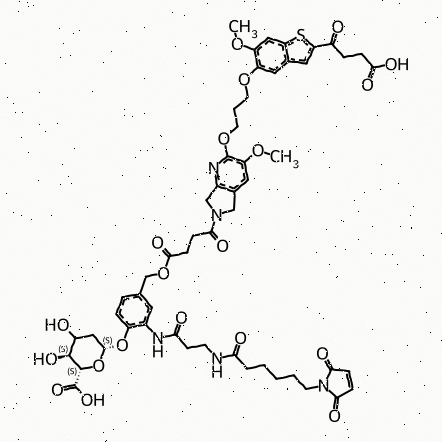 COc1cc2sc(C(=O)CCC(=O)O)cc2cc1OCCCOc1nc2c(cc1OC)CN(C(=O)CCC(=O)OCc1ccc(O[C@H]3CC(O)[C@H](O)[C@@H](C(=O)O)O3)c(NC(=O)CCNC(=O)CCCCCN3C(=O)C=CC3=O)c1)C2